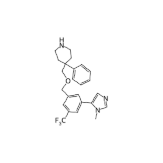 Cn1cncc1-c1cc(COCC2(c3ccccc3)CCNCC2)cc(C(F)(F)F)c1